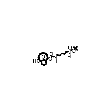 CC(C)(C)OC(=O)NCCCCCNC(=O)OC1C#C/C=C\C#CC2(O)CCC=C1C2=O